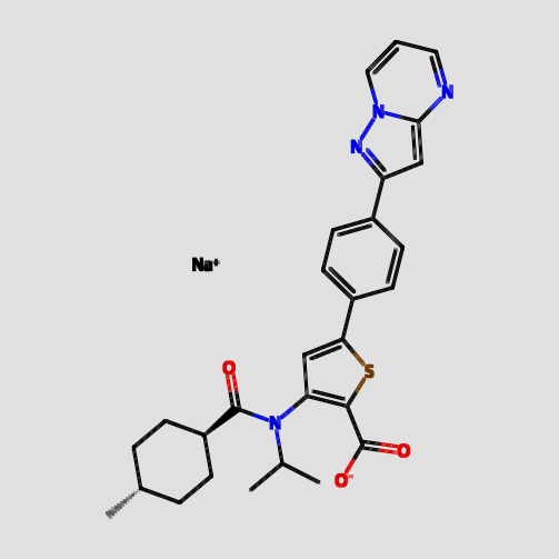 CC(C)N(c1cc(-c2ccc(-c3cc4ncccn4n3)cc2)sc1C(=O)[O-])C(=O)[C@H]1CC[C@H](C)CC1.[Na+]